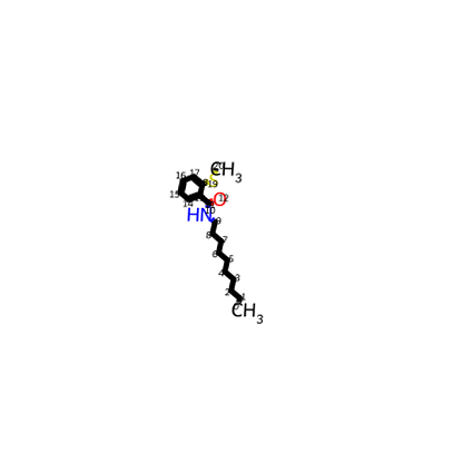 CCCCCCCCCCNC(=O)c1ccccc1SC